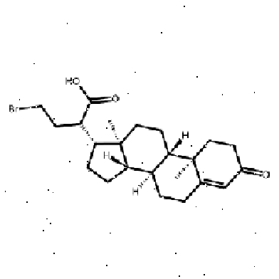 C[C@]12CC[C@H]3[C@@H](CCC4=CC(=O)CC[C@@]43C)[C@@H]1CC[C@@H]2C(CCBr)C(=O)O